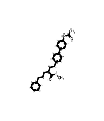 COC(=O)C(CCCc1ccccc1)CCc1ccc(-c2ccc(NC(C)=O)cc2)cc1